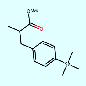 COC(=O)C(C)Cc1cc[c]([Sn]([CH3])([CH3])[CH3])cc1